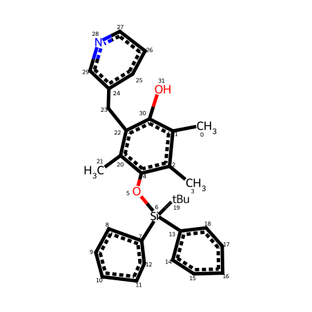 Cc1c(C)c(O[Si](c2ccccc2)(c2ccccc2)C(C)(C)C)c(C)c(Cc2cccnc2)c1O